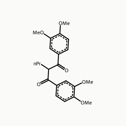 CCCC(C(=O)c1ccc(OC)c(OC)c1)C(=O)c1ccc(OC)c(OC)c1